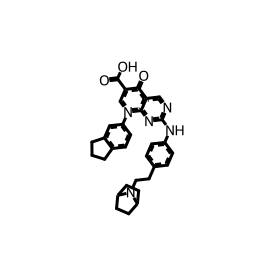 O=C(O)c1cn(-c2ccc3c(c2)CCC3)c2nc(Nc3ccc(CCN4C5CCC4CC5)cc3)ncc2c1=O